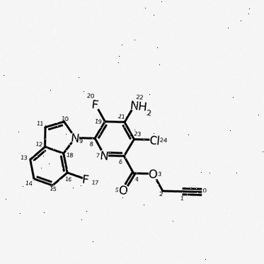 C#CCOC(=O)c1nc(-n2ccc3cccc(F)c32)c(F)c(N)c1Cl